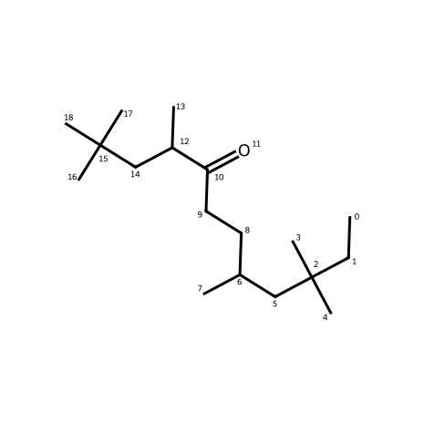 CCC(C)(C)CC(C)CCC(=O)C(C)CC(C)(C)C